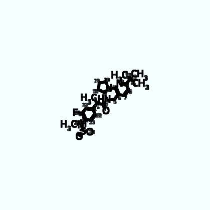 CC(C(=O)NCc1ccc(C(C)(C)C)nc1N1CCCC1)c1ccc(N(C)[SH](=O)=O)c(F)c1